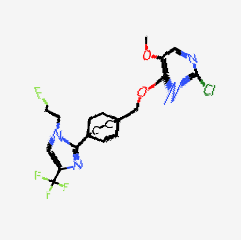 COc1cnc(Cl)nc1OCC12CCC(c3nc(C(F)(F)F)cn3CCF)(CC1)CC2